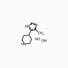 Cc1nc[nH]c1C1CCNCC1.Cl.Cl